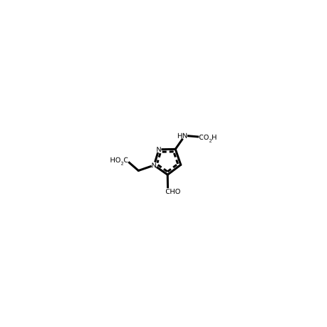 O=Cc1cc(NC(=O)O)nn1CC(=O)O